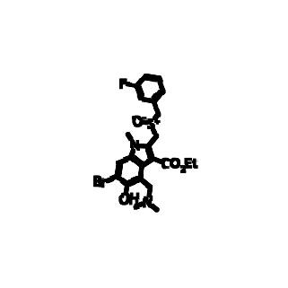 CCOC(=O)c1c(C[S+]([O-])Cc2cccc(F)c2)n(C)c2cc(Br)c(O)c(CN(C)C)c12